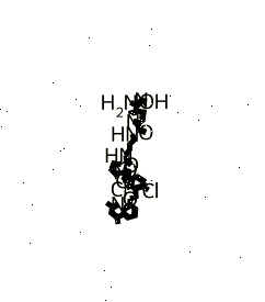 Cc1cc(C)c2cccc(OCc3c(Cl)ccc(S(=O)(=O)N4CCC[C@H]4C(=O)NCCCNC(=O)c4ccc(/C(N)=N\O)cn4)c3Cl)c2n1